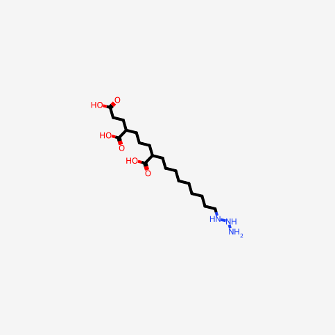 NNNCCCCCCCCCC(CCCC(CCC(=O)O)C(=O)O)C(=O)O